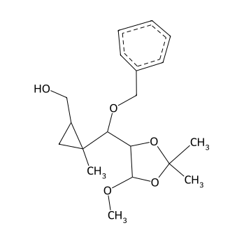 COC1OC(C)(C)OC1C(OCc1ccccc1)C1(C)CC1CO